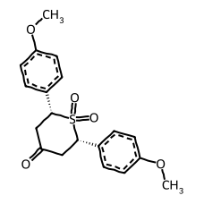 COc1ccc([C@H]2CC(=O)C[C@@H](c3ccc(OC)cc3)S2(=O)=O)cc1